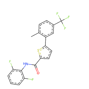 Cc1ccc(C(F)(F)F)cc1-c1ccc(C(=O)Nc2c(F)cccc2F)s1